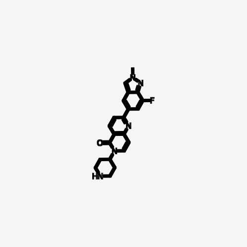 Cn1cc2cc(-c3ccc4c(=O)n(C5CCNCC5)ccc4n3)cc(F)c2n1